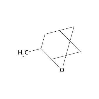 CC1CC2CC23CC32OC12